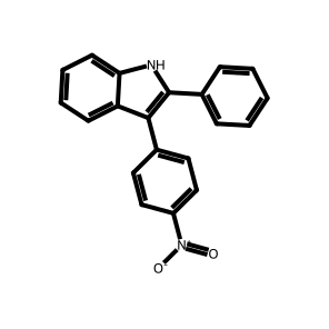 O=[N+]([O-])c1ccc(-c2c(-c3ccccc3)[nH]c3ccccc23)cc1